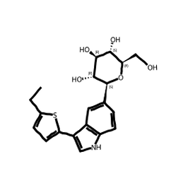 CCc1ccc(-c2c[nH]c3ccc([C@@H]4O[C@H](CO)[C@@H](O)[C@H](O)[C@H]4O)cc23)s1